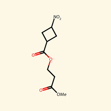 COC(=O)CCOC(=O)C1CC([N+](=O)[O-])C1